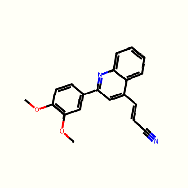 COc1ccc(-c2cc(C=CC#N)c3ccccc3n2)cc1OC